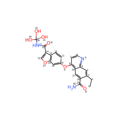 CCc1cc2nccc(Oc3ccc4c(C(=O)NC(O)(O)O)coc4c3)c2cc1C(N)=O